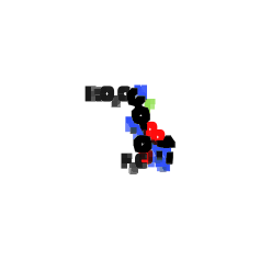 CCOC(=O)c1cncc(-c2cc3ncn(-c4ccc(OC(F)(F)F)c(NC(=O)C5(N6CCN(C)CC6)CC5)c4)c(=O)c3cc2F)c1